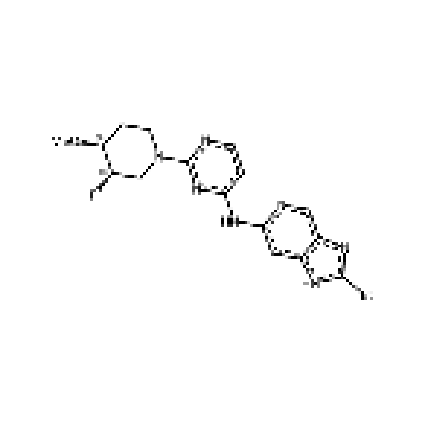 CCc1nc2cnc(Nc3ccnc(N4CC[C@H](OC)[C@H](F)C4)n3)cc2[nH]1